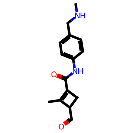 CNCc1ccc(NC(=O)C2=C(C)C(C=O)C2)cc1